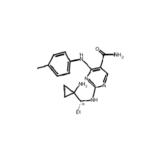 CC[C@@H](Nc1ncc(C(N)=O)c(Nc2ccc(C)cc2)n1)C1(N)CC1